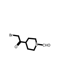 O=CN1CCC(C(=O)CBr)CC1